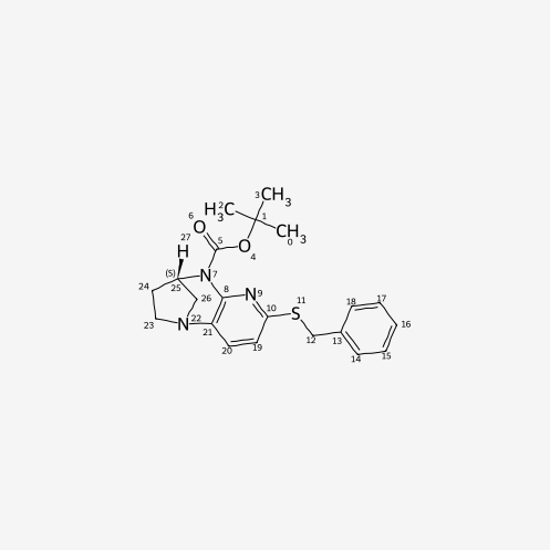 CC(C)(C)OC(=O)N1c2nc(SCc3ccccc3)ccc2N2CC[C@H]1C2